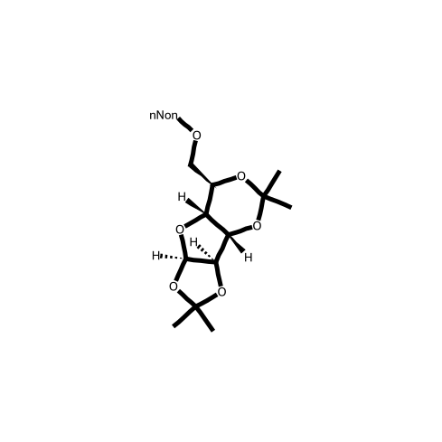 CCCCCCCCCOC[C@H]1OC(C)(C)O[C@@H]2[C@H]3OC(C)(C)O[C@H]3O[C@@H]21